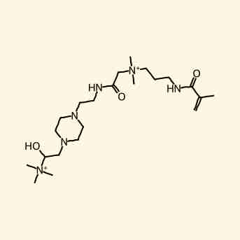 C=C(C)C(=O)NCCC[N+](C)(C)CC(=O)NCCN1CCN(CC(O)[N+](C)(C)C)CC1